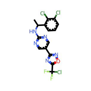 CC(Nc1ncc(-c2noc(C(F)(F)Cl)n2)cn1)c1cccc(Cl)c1Cl